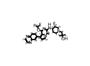 CC(C)(O)CN1CC[C@H](Nc2nc(OC(F)F)c3c(-c4ccc5nccnc5c4)ccn3n2)[C@H](F)C1